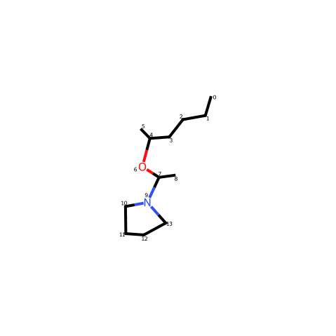 CCCCC(C)OC(C)N1CCCC1